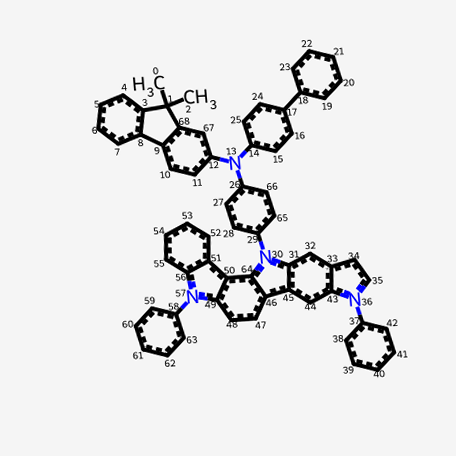 CC1(C)c2ccccc2-c2ccc(N(c3ccc(-c4ccccc4)cc3)c3ccc(-n4c5cc6ccn(-c7ccccc7)c6cc5c5ccc6c(c7ccccc7n6-c6ccccc6)c54)cc3)cc21